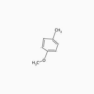 COc1[c]cc(C)c[c]1